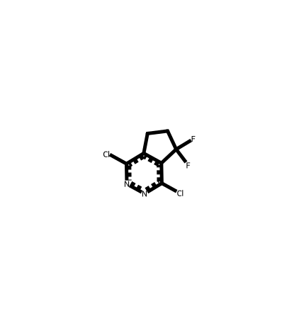 FC1(F)CCc2c(Cl)nnc(Cl)c21